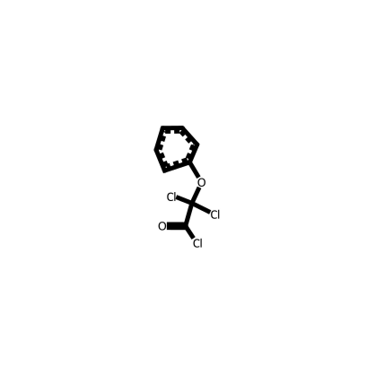 O=C(Cl)C(Cl)(Cl)Oc1ccccc1